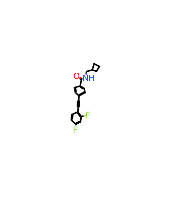 O=C(NCC1CCC1)c1ccc(C#Cc2ccc(F)cc2F)cc1